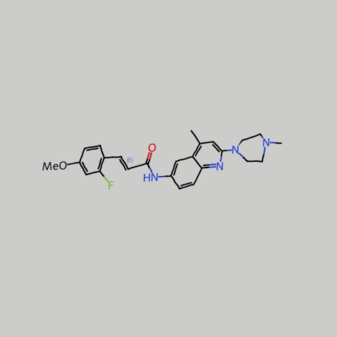 COc1ccc(/C=C/C(=O)Nc2ccc3nc(N4CCN(C)CC4)cc(C)c3c2)c(F)c1